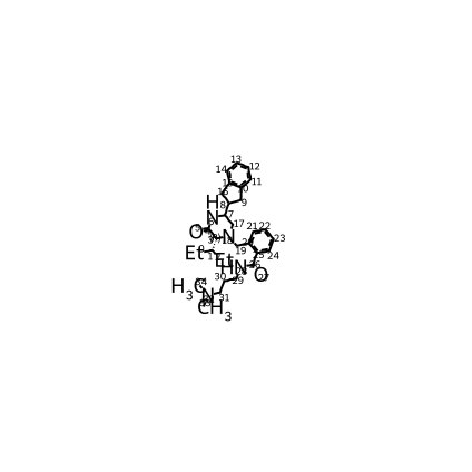 CCC(CC)[C@@H]1C(=O)NC(C2Cc3ccccc3C2)CN1Cc1ccccc1C(=O)NCCCN(C)C